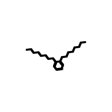 CCCCCCCCc1c[c]ccc1CCCCCCCC